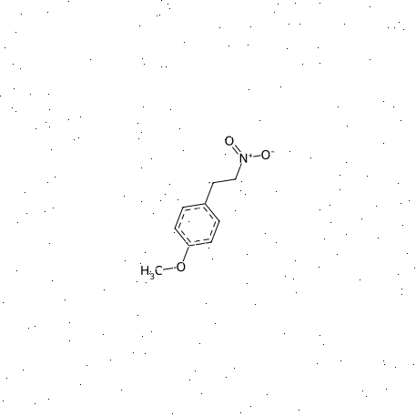 COc1ccc([CH]C[N+](=O)[O-])cc1